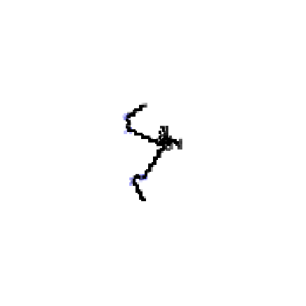 CCCCC/C=C\C/C=C\CCCCCCCCC1(CCCCCCCC/C=C\C/C=C\CCCCC)O[C@H](CNC)[C@@H](CN(C)C)O1